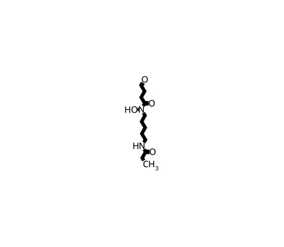 CCC(=O)NCCCCCN(O)C(=O)CCC=O